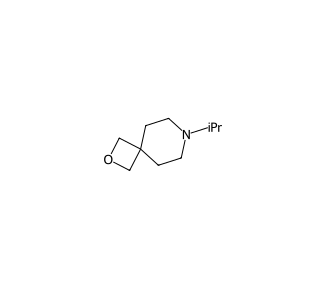 CC(C)N1CCC2(CC1)COC2